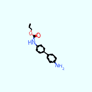 C=CCOC(=O)Nc1ccc(-c2ccc(N)cc2)cc1